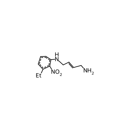 CCc1cccc(NC/C=C/CN)c1[N+](=O)[O-]